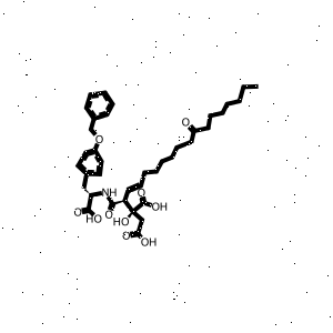 CCCCCCCC(=O)CCCCCC/C=C/[C@H](C(=O)N[C@@H](Cc1ccc(OCc2ccccc2)cc1)C(=O)O)[C@@](O)(CC(=O)O)C(=O)O